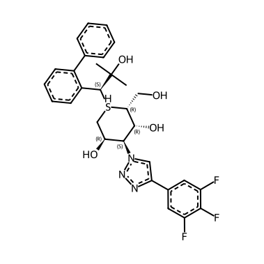 CC(C)(O)[C@H](c1ccccc1-c1ccccc1)[SH]1C[C@H](O)[C@H](n2cc(-c3cc(F)c(F)c(F)c3)nn2)[C@@H](O)[C@H]1CO